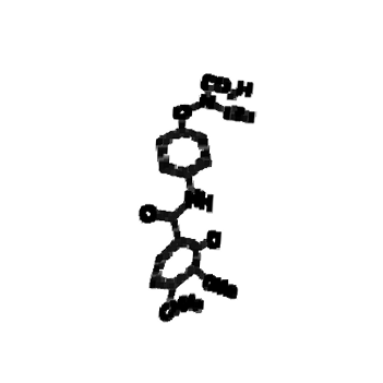 COc1ccc(C(=O)Nc2ccc(ON(C(=O)O)C(C)(C)C)cc2)c(Cl)c1OC